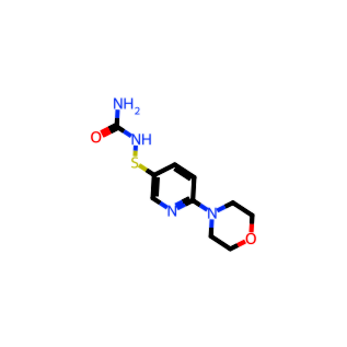 NC(=O)NSc1ccc(N2CCOCC2)nc1